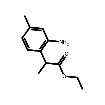 CCOC(=O)C(C)c1ccc(C)cc1N